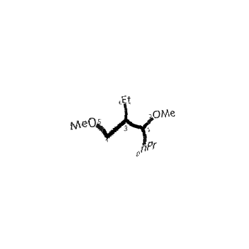 CCCC(OC)C([CH]OC)CC